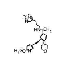 C=C(NCCCC(/C=N\C)=C/C)c1ccc(N2CCOCC2)c(C#Cc2ccc(OC)nc2)c1